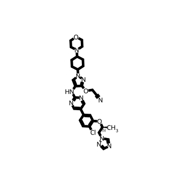 C[C@@H](Cn1cncn1)Oc1cc(-c2cnc(Nc3cn(C4CCC(N5CCOCC5)CC4)nc3OCC#N)nc2)ccc1Cl